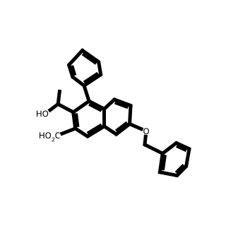 CC(O)c1c(C(=O)O)cc2cc(OCc3ccccc3)ccc2c1-c1ccccc1